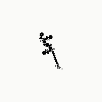 NCC(=O)OCCCCCCCCCCCCNC(=O)[C@@H]1CN(C(=O)c2ccc(C(=O)N3C[C@@H](C(=O)N[C@H]4C[C@@H]4c4ccccc4)[C@H](C(=O)N[C@H]4C[C@@H]4c4ccccc4)C3)cc2)C[C@H]1C(=O)N[C@H]1C[C@@H]1c1ccccc1